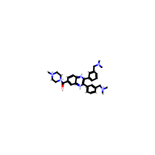 CN(C)Cc1cccc(-c2nc3ccc(C(=O)N4CCN(C)CC4)cc3nc2-c2cccc(CN(C)C)c2)c1